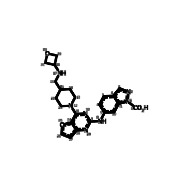 O=C(O)n1ncc2ccc(Nc3nc(N4CCC(CNC5COC5)CC4)c4occc4n3)cc21